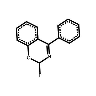 FC1N=C(c2ccccc2)c2ccccc2O1